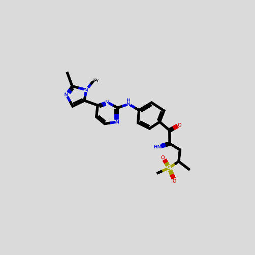 Cc1ncc(-c2ccnc(Nc3ccc(C(=O)C(=N)CC(C)S(C)(=O)=O)cc3)n2)n1C(C)C